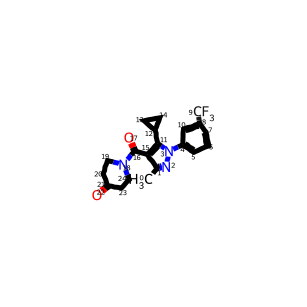 Cc1nn(-c2cccc(C(F)(F)F)c2)c(C2CC2)c1C(=O)N1CCC(=O)CC1